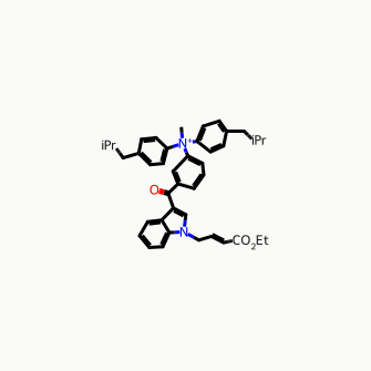 CCOC(=O)C=CCn1cc(C(=O)c2cccc([N+](C)(c3ccc(CC(C)C)cc3)c3ccc(CC(C)C)cc3)c2)c2ccccc21